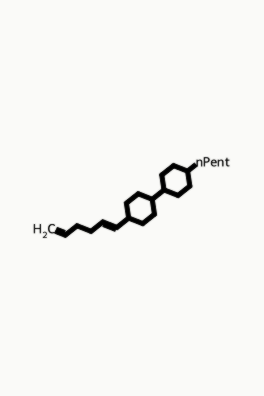 C=CCCC=CC1CCC(C2CCC(CCCCC)CC2)CC1